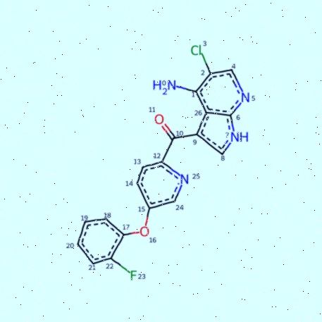 Nc1c(Cl)cnc2[nH]cc(C(=O)c3ccc(Oc4ccccc4F)cn3)c12